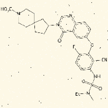 CCN(C)S(=O)(=O)Nc1ccc(F)c(Oc2ccc3ncn(C4CCC5(CCN(C(=O)O)CC5)C4)c(=O)c3c2)c1C#N